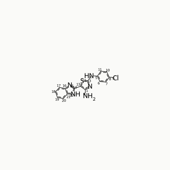 Nc1nc(Nc2ccc(Cl)cc2)sc1-c1nc2ccccc2[nH]1